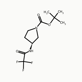 CC(C)(C)OC(=O)N1CC[C@H](NC(=O)C(F)(F)F)C1